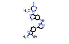 CC(C)c1c2cc(-c3ccnc(Nc4ccc5c(N6CCNC[C@@H]6C)ncnc5c4)n3)ccc2nn1C